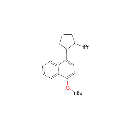 CCCCOc1ccc(C2CCCC2C(C)C)c2ccccc12